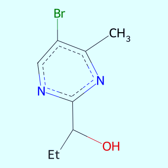 CCC(O)c1ncc(Br)c(C)n1